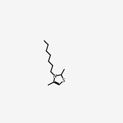 CCCCCCCN1C(C)=CSC1C